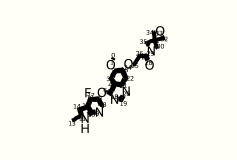 COc1cc2c(Oc3cnc4[nH]c(C)cc4c3F)ncnc2cc1OCCC(=O)N1CC2(COC2)C1